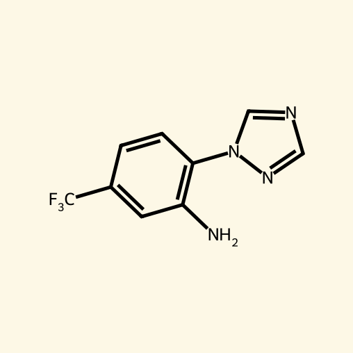 Nc1cc(C(F)(F)F)ccc1-n1cncn1